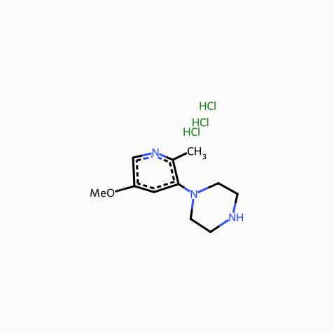 COc1cnc(C)c(N2CCNCC2)c1.Cl.Cl.Cl